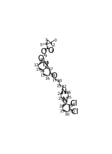 CC1(C)CC1(C)C(=O)OCOc1ccc2ccc(OCCCCN3CCN(c4cccc(Cl)c4Cl)CC3)cc2n1